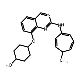 CC1C=CC=C(Nc2ncc3cccc(OC4CCC(O)CC4)c3n2)C=C1